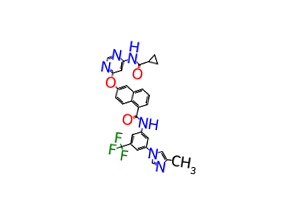 Cc1cn(-c2cc(NC(=O)c3cccc4cc(Oc5cc(NC(=O)C6CC6)ncn5)ccc34)cc(C(F)(F)F)c2)cn1